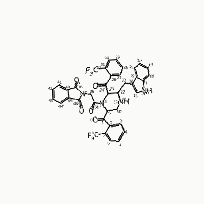 O=C(c1ccccc1C(F)(F)F)C1CNC(Cc2c[nH]c3ccccc23)C(C(=O)c2ccccc2C(F)(F)F)N1C(=O)CN1C(=O)c2ccccc2C1=O